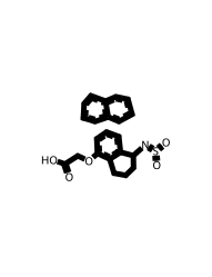 O=C(O)COc1cccc2c1CCCC2N=S(=O)=O.c1ccc2ccccc2c1